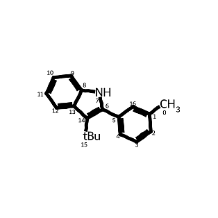 Cc1cccc(-c2[nH]c3ccccc3c2C(C)(C)C)c1